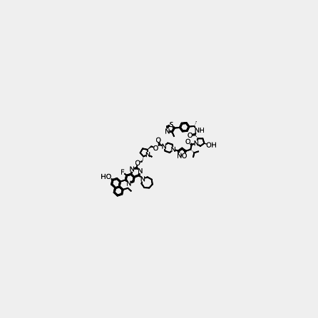 CCc1cccc2cc(O)cc(-c3ncc4c(N5CCCCCC5)nc(OC[C@@H]5CC[C@@H](COC(=O)N6CCN(c7cc([C@H](C(=O)N8C[C@H](O)C[C@H]8C(=O)N[C@@H](C)c8ccc(-c9scnc9C)cc8)C(C)C)on7)CC6)N5C)nc4c3F)c12